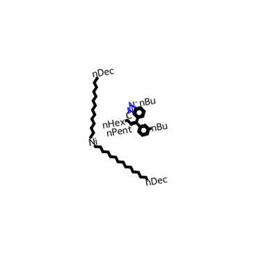 CCCCCCC(=C=[N+]=[N-])C(CCCCC)=C(c1ccc(CCCC)cc1)c1cccc(CCCC)c1.CCCCCCCCCCCCCCCCCCCCCCC[CH2][Ni][CH2]CCCCCCCCCCCCCCCCCCCCCCC